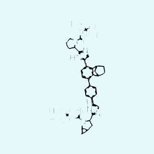 CC(C)(C)OC(=O)N1CCCC1c1ncc(-c2ccc(-c3ccc(-c4cnc(C5CC6CC6N5C(=O)OC(C)(C)C)[nH]4)cc3)c3c2C2CCC3C2)[nH]1